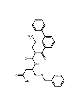 CCCN(C(=O)N[C@@H](CSCc1ccccc1)CC(=O)O)C(=O)c1cccc(-c2ccccc2)c1